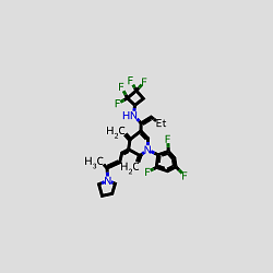 C=C1C(/C(=C\CC)NC2CC(F)(F)C2(F)F)=CN(c2c(F)cc(F)cc2F)C(=C)/C1=C\C=C(/C)N1CCCC1